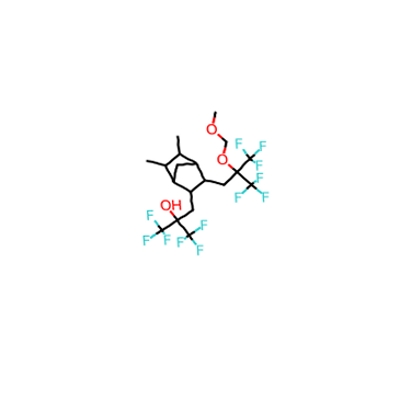 COCOC(CC1C2CC(C(C)C2C)C1CC(O)(C(F)(F)F)C(F)(F)F)(C(F)(F)F)C(F)(F)F